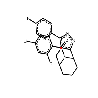 O=C(c1ccc(Cl)cc1Cl)N1C2CCCC1c1nnc(-c3ncc(F)cn3)n1C2